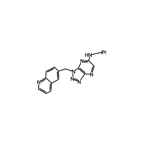 CC(C)Nc1cnc2nnn(Cc3ccc4ncccc4c3)c2n1